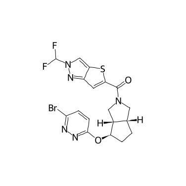 O=C(c1cc2nn(C(F)F)cc2s1)N1C[C@@H]2CC[C@@H](Oc3ccc(Br)nn3)[C@@H]2C1